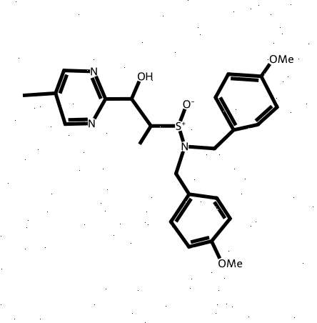 COc1ccc(CN(Cc2ccc(OC)cc2)[S+]([O-])C(C)C(O)c2ncc(C)cn2)cc1